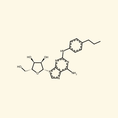 CCCc1ccc(Nc2nc(N)c3ncn([C@@H]4O[C@H](CO)[C@@H](O)[C@H]4O)c3n2)cc1